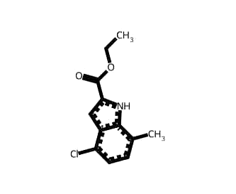 CCOC(=O)c1cc2c(Cl)ccc(C)c2[nH]1